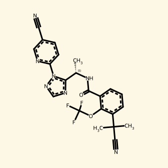 C[C@H](NC(=O)c1cccc(C(C)(C)C#N)c1OC(F)(F)F)c1ncnn1-c1ccc(C#N)cn1